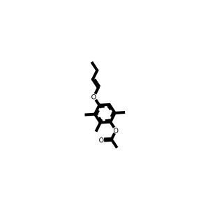 CCC=COc1cc(C)c(OC(C)=O)c(C)c1C